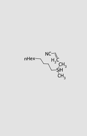 C=CC#N.CCCCCCCCCC[SiH](C)C